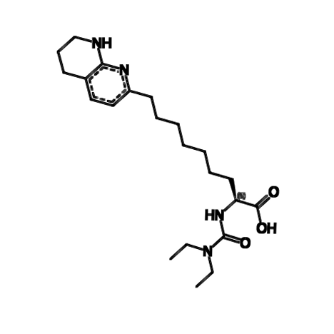 CCN(CC)C(=O)N[C@@H](CCCCCCCc1ccc2c(n1)NCCC2)C(=O)O